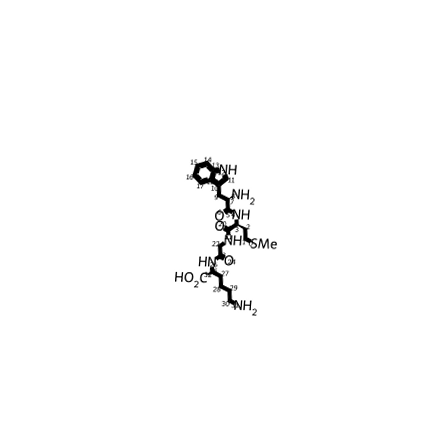 CSCC[C@H](NC(=O)[C@@H](N)Cc1c[nH]c2ccccc12)C(=O)NCC(=O)N[C@@H](CCCCN)C(=O)O